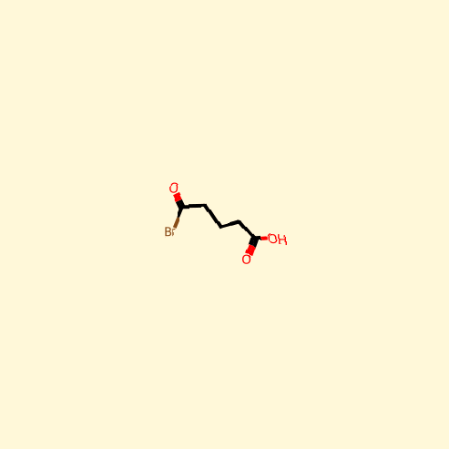 O=C(O)CCCC(=O)Br